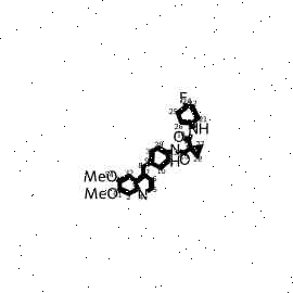 COc1cc2nccc(Cc3ccc(NC(=O)C4(C(=O)Nc5ccc(F)cc5)CC4)cc3)c2cc1OC